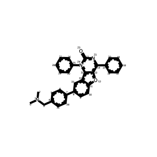 CN(C)Cc1ccc(-c2ccc3oc4c(-c5ccccc5)nc(=O)n(-c5ccccc5)c4c3c2)cc1